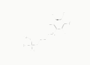 OC(O)(CCCCNc1c(F)c(F)c(F)c(F)c1F)O[SiH3]